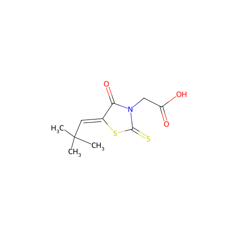 CC(C)(C)C=C1SC(=S)N(CC(=O)O)C1=O